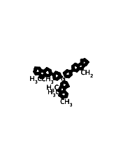 C=C1c2ccccc2-c2ccc(-c3ccc(N(c4ccc(-c5ccc6c(c5)C(C)(C)c5ccccc5-6)cc4)c4ccc5c(c4)C(C)(C)c4cc(C)ccc4-5)cc3)cc21